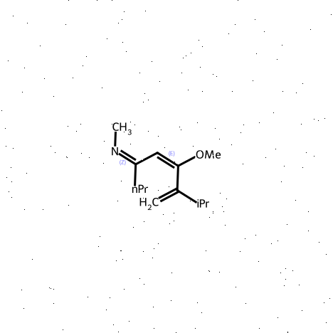 C=C(/C(=C\C(CCC)=N/C)OC)C(C)C